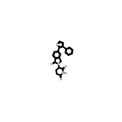 O=C1CCC(N2Cc3cc(-c4occc4-c4ccccc4)ccc3C2=O)C(=O)N1